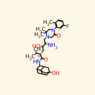 Cc1ccc(F)cc1N1CC(C)(C)N(C[C@H](N)[C@@H](O)C[C@H](C(=O)NC2C3CC4CC2CC(O)(C4)C3)C(C)C)CC1=O